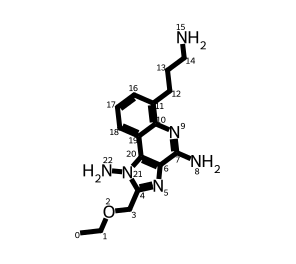 CCOCc1nc2c(N)nc3c(CCCN)cccc3c2n1N